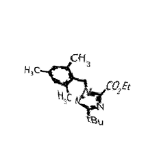 CCOC(=O)c1nc(C(C)(C)C)nn1Cc1c(C)cc(C)cc1C